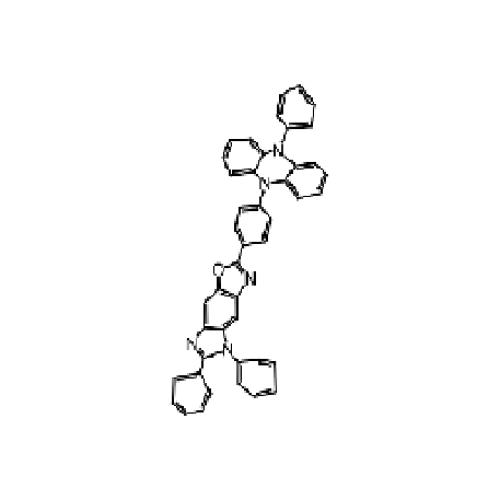 c1ccc(-c2nc3cc4oc(-c5ccc(N6c7ccccc7N(c7ccccc7)c7ccccc76)cc5)nc4cc3n2-c2ccccc2)cc1